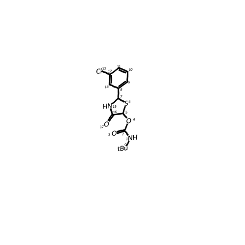 CC(C)(C)NC(=O)OC1SC(c2cccc(Cl)c2)NC1=O